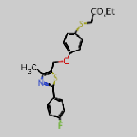 CCOC(=O)CSc1ccc(OCc2sc(-c3ccc(F)cc3)nc2C)cc1